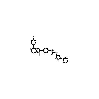 O=C(Nc1ccc(-c2cc3c(-c4ccc(F)cc4)ncnc3[nH]2)cc1)Nc1cc(-c2cccnc2)no1